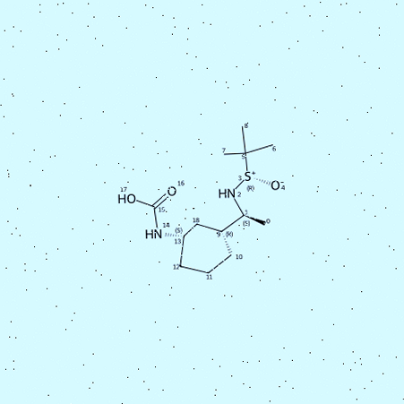 C[C@H](N[S@@+]([O-])C(C)(C)C)[C@@H]1CCC[C@H](NC(=O)O)C1